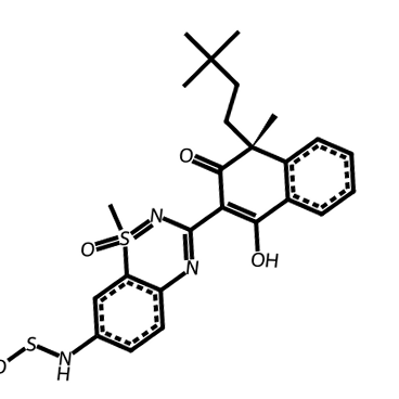 CC(C)(C)CC[C@@]1(C)C(=O)C(C2=Nc3ccc(NSO)cc3S(C)(=O)=N2)=C(O)c2ccccc21